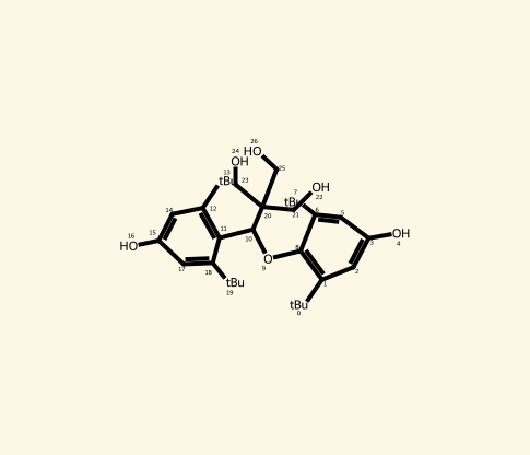 CC(C)(C)c1cc(O)cc(C(C)(C)C)c1OC(c1c(C(C)(C)C)cc(O)cc1C(C)(C)C)C(CO)(CO)CO